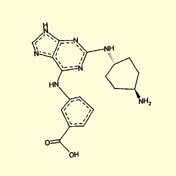 N[C@H]1CC[C@H](Nc2nc(Nc3cccc(C(=O)O)c3)c3nc[nH]c3n2)CC1